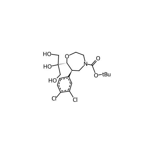 CC(C)(C)OC(=O)N1CCO[C@@H](C(O)(CO)CO)[C@H](c2ccc(Cl)c(Cl)c2)C1